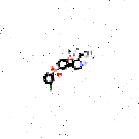 CC(C)C1NCCc2c1oc1ccc(S(=O)(=O)c3cccc(F)c3)cc21